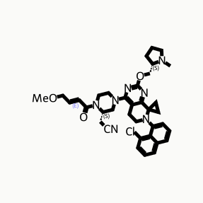 COC/C=C/C(=O)N1CCN(c2nc(OC[C@@H]3CCCN3C)nc3c2CCN(c2cccc4cccc(Cl)c24)C32CC2)C[C@@H]1CC#N